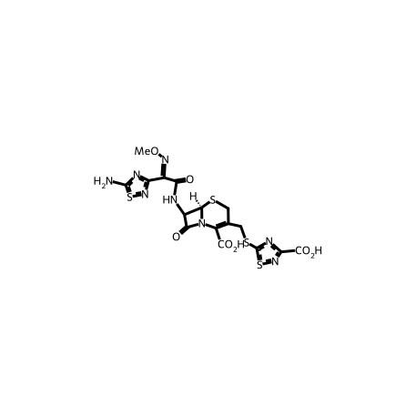 CO/N=C(/C(=O)NC1C(=O)N2C(C(=O)O)=C(CSc3nc(C(=O)O)ns3)CS[C@H]12)c1nsc(N)n1